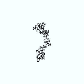 CC(=O)c1c(C)c2cnc(Nc3ccc(C4CCN(C(=O)C5CN(c6ccc7c(c6)C(=O)N(C6CCC(=O)NC6=O)C7=O)C5)CC4)cn3)nc2n(C2CCCC2)c1=O